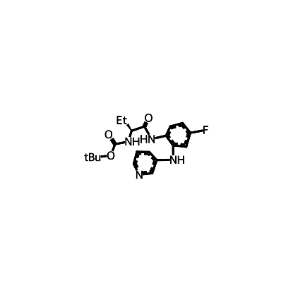 CC[C@H](NC(=O)OC(C)(C)C)C(=O)Nc1ccc(F)cc1Nc1cccnc1